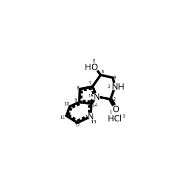 Cl.O=C1NCC(O)c2cc3cccnc3n21